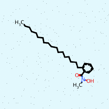 CCCCCCCCCCCCCCCCCCc1ccccc1C(=O)N(C)O